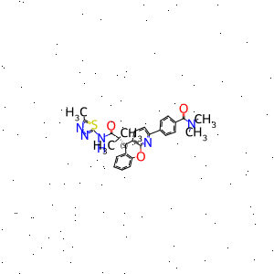 Cc1nnc(NC(=O)C(C)(C)[C@H]2c3ccccc3Oc3nc(-c4ccc(C(=O)N(C)C)cc4)ccc32)s1